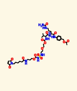 CC(=O)OCc1ccc(NC(=O)[C@H](CCCNC(N)=O)NC(=O)[C@@H](NC(=O)OCCOCCNS(=O)(=O)NC(=O)OCCCNC(=O)CCCCCN2C(=O)C=CC2=O)C(C)C)cc1